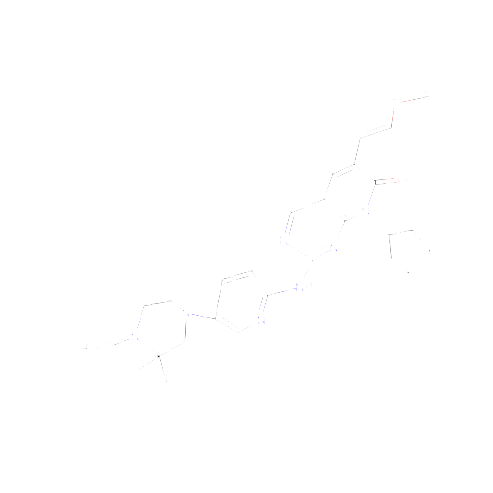 CCOC=Cc1c(C)c2cnc(Nc3ccc(N4CCN(C(=O)O)C(C)(C)C4)cn3)nc2n(C2CCCC2)c1=O